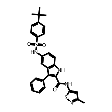 Cc1cc(NC(=O)c2[nH]c3ccc(NS(=O)(=O)c4ccc(C(C)(C)C)cc4)cc3c2-c2ccccc2)sn1